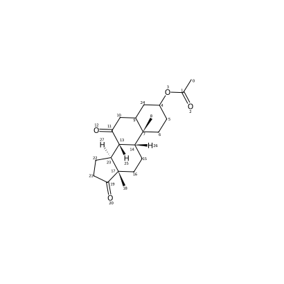 CC(=O)OC1CC[C@@]2(C)C(CC(=O)[C@@H]3[C@H]2CC[C@]2(C)C(=O)CC[C@@H]32)C1